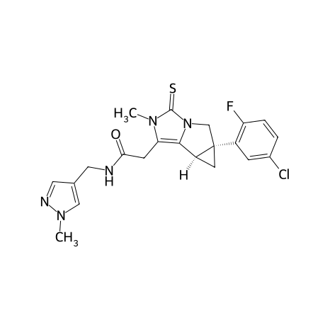 Cn1cc(CNC(=O)Cc2c3n(c(=S)n2C)C[C@@]2(c4cc(Cl)ccc4F)C[C@@H]32)cn1